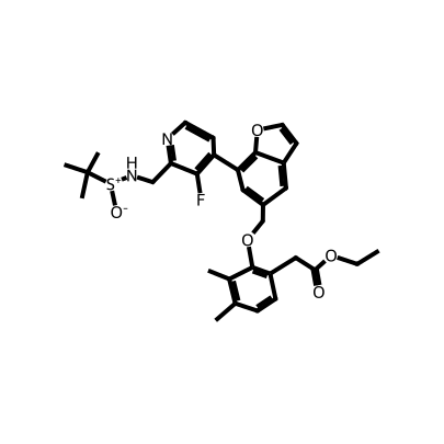 CCOC(=O)Cc1ccc(C)c(C)c1OCc1cc(-c2ccnc(CN[S+]([O-])C(C)(C)C)c2F)c2occc2c1